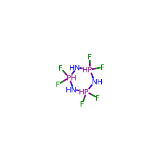 F[PH]1(F)N[PH](F)(F)N[PH](F)(F)N1